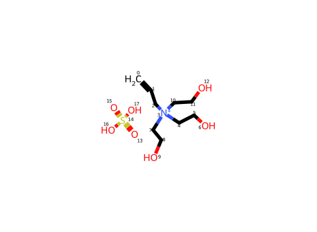 C=CC[N+](CCO)(CCO)CCO.O=S(=O)(O)O